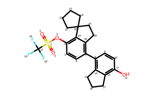 O=S(=O)(Oc1ccc(-c2ccc(O)c3c2CCC3)c2c1C1(CCCC1)CC2)C(F)(F)F